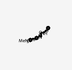 CNSc1ccc(COc2ccc(-c3cn(C(=O)NCCCOc4ccccc4)cn3)cc2)cc1